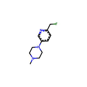 CN1CCN(c2ccc(CF)nc2)CC1